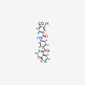 O=C(O)c1ccc(C(=O)Nc2ccc(C(=O)N3CCCc4ccccc43)cc2)cc1